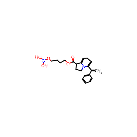 C=C(C1=CCC=C2C(C(=O)OCCCCON(O)O)CCN12)c1ccccc1